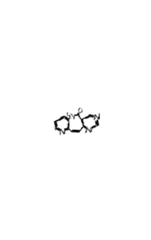 O=C1Nc2cccnc2/C=C\c2ncncc21